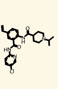 C=Cc1ccc(NC(=O)C2CCN(C(C)C)CC2)c(C(=O)Nc2ccc(Cl)cn2)c1